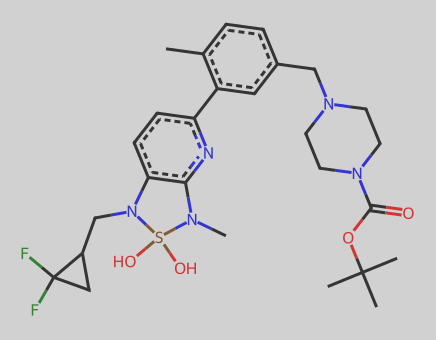 Cc1ccc(CN2CCN(C(=O)OC(C)(C)C)CC2)cc1-c1ccc2c(n1)N(C)S(O)(O)N2CC1CC1(F)F